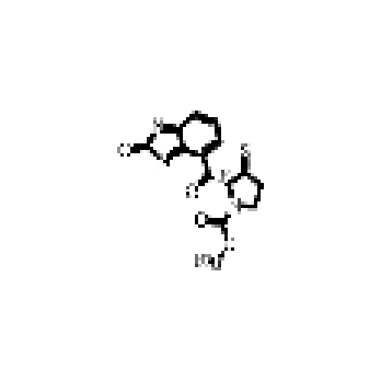 CC(C)(C)OC(=O)N1CCC(=S)[C@H]1C(=O)c1cccc2c1=NC(=O)N=2